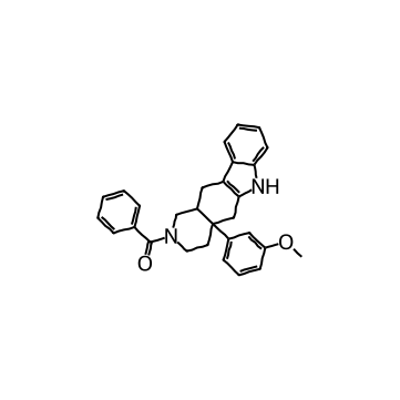 COc1cccc(C23CCN(C(=O)c4ccccc4)CC2Cc2c([nH]c4ccccc24)C3)c1